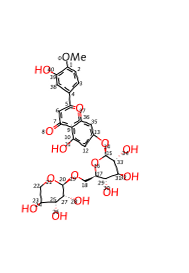 COc1ccc(-c2cc(=O)c3c(O)cc(O[C@@H]4O[C@H](CO[C@@H]5OC[C@H](O)[C@@H](O)[C@H]5O)[C@@H](O)[C@H](O)[C@H]4O)cc3o2)cc1O